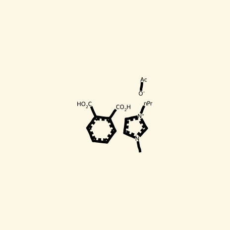 CC(=O)[O-].CCC[n+]1ccn(C)c1.O=C(O)c1ccccc1C(=O)O